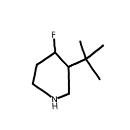 CC(C)(C)C1CNCCC1F